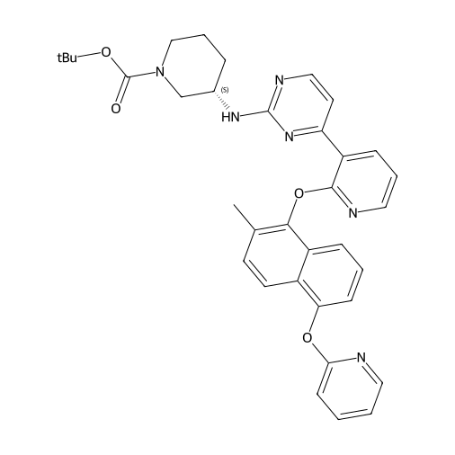 Cc1ccc2c(Oc3ccccn3)cccc2c1Oc1ncccc1-c1ccnc(N[C@H]2CCCN(C(=O)OC(C)(C)C)C2)n1